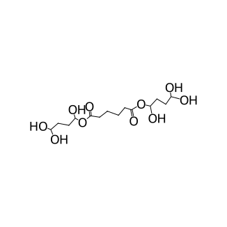 O=C(CCCCC(=O)OC(O)CCC(O)O)OC(O)CCC(O)O